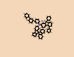 CC1(c2ccccc2)c2cc(N(c3cccc(-c4ccc5sc6ccccc6c5c4)c3)c3ccc4c(c3)C(c3ccccc3)(c3ccccc3)c3ccccc3-4)ccc2-c2c(-c3ccccc3)cccc21